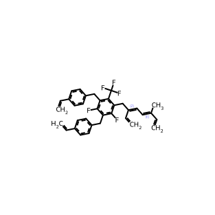 C=C/C(=C\C=C(/C)C=C)Cc1c(F)c(Cc2ccc(C=C)cc2)c(F)c(Cc2ccc(C=C)cc2)c1C(F)(F)F